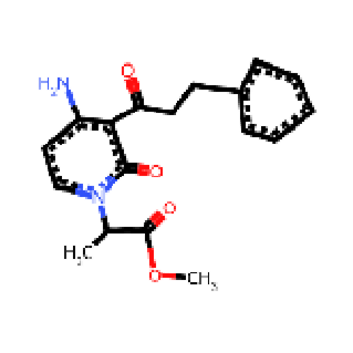 COC(=O)C(C)n1ccc(N)c(C(=O)CCc2ccccc2)c1=O